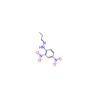 CC/C=N/Nc1ccc([N+](=O)[O-])cc1[N+](=O)[O-]